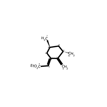 C=C1/C(=C/C(=O)OCC)C[C@@H](C)C[C@@H]1C